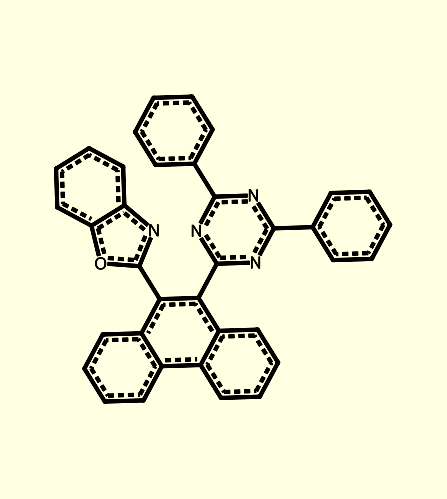 c1ccc(-c2nc(-c3ccccc3)nc(-c3c(-c4nc5ccccc5o4)c4ccccc4c4ccccc34)n2)cc1